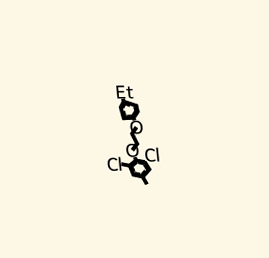 CCc1ccc(OCCOc2c(Cl)cc(C)cc2Cl)cc1